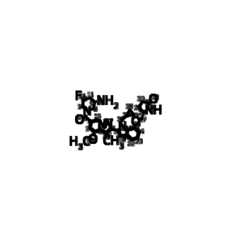 COc1cc(C(=O)N2C[C@H](N)C[C@@H](F)C2)cn2nc(-c3cc4cccc(OC[C@H]5CCC(=O)N5)c4n3CC3CC3)c(C)c12